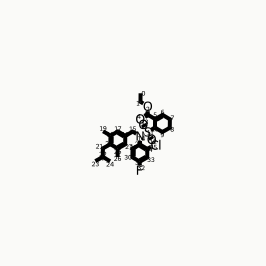 CCOC(=O)C1=CCCCC1S(=O)(=O)N(Cc1cc(C)c(C[C](C)C)c(C)c1)c1ccc(F)cc1Cl